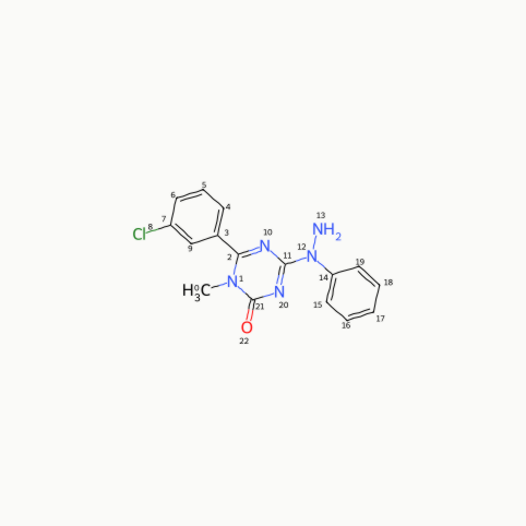 Cn1c(-c2cccc(Cl)c2)nc(N(N)c2ccccc2)nc1=O